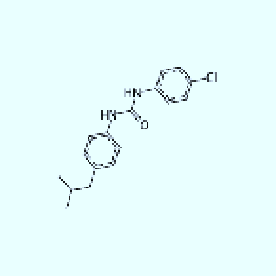 CC(C)Cc1ccc(NC(=O)Nc2ccc(Cl)cc2)cc1